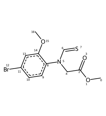 COC(=O)CN(C=S)c1ccc(Br)cc1OC